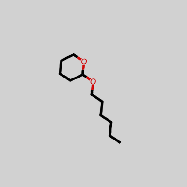 CCCCCCOC1CCCCO1